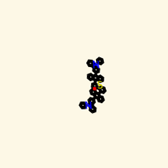 c1ccc(-n2c3ccccc3c3cc(-c4c5ccccc5c(-c5cccc6c5sc5cccc(-c7c8ccccc8c(-c8ccc9c(c8)c8ccccc8n9-c8ccccc8)c8ccccc78)c56)c5ccccc45)ccc32)cc1